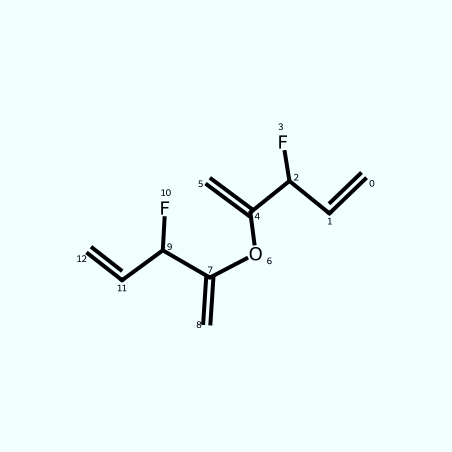 C=CC(F)C(=C)OC(=C)C(F)C=C